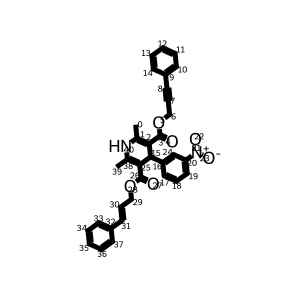 CC1=C(C(=O)OCC#Cc2ccccc2)C(c2cccc([N+](=O)[O-])c2)C(C(=O)OCC=Cc2ccccc2)=C(C)N1